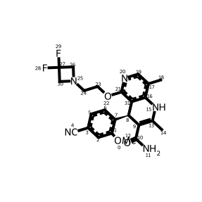 COc1cc(C#N)ccc1[C@@H]1C(C(N)=O)=C(C)Nc2c(C)cnc(OCCN3CC(F)(F)C3)c21